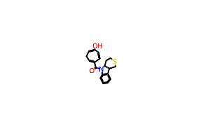 O=C(C1=CCC=C(O)C=C1)N1c2ccccc2C2CSCCC21